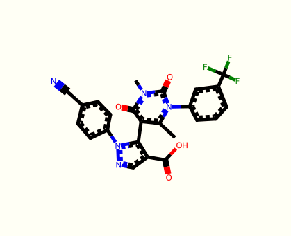 Cc1c(-c2c(C(=O)O)cnn2-c2ccc(C#N)cc2)c(=O)n(C)c(=O)n1-c1cccc(C(F)(F)F)c1